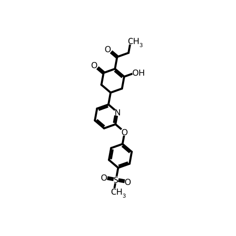 CCC(=O)C1=C(O)CC(c2cccc(Oc3ccc(S(C)(=O)=O)cc3)n2)CC1=O